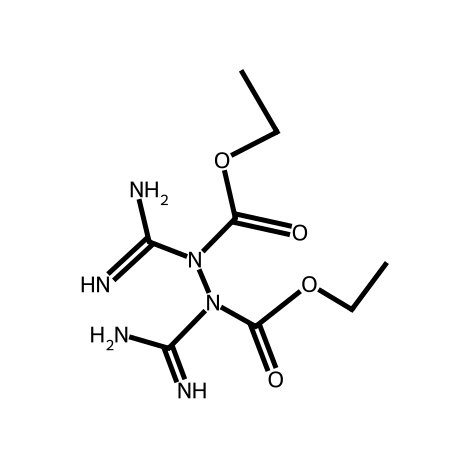 CCOC(=O)N(C(=N)N)N(C(=N)N)C(=O)OCC